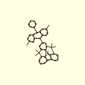 Cc1ccc2c(-c3cc4c5c(c3)C(C)(C)c3cccc6c7cccc(c7n-5c36)C4(C)C)c3cc(C)ccc3c(-c3ccccc3)c2c1